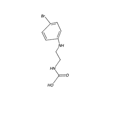 O=C(O)NCCNc1ccc(Br)cc1